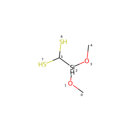 CO[SiH](OC)C(S)S